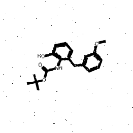 COc1cccc(Cc2cccc(O)c2NC(=O)OC(C)(C)C)c1